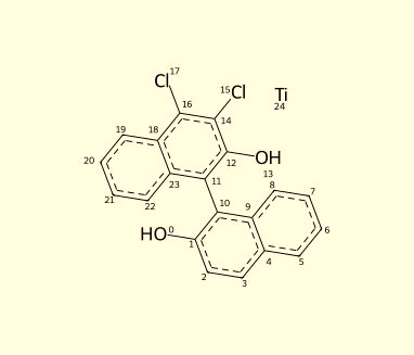 Oc1ccc2ccccc2c1-c1c(O)c(Cl)c(Cl)c2ccccc12.[Ti]